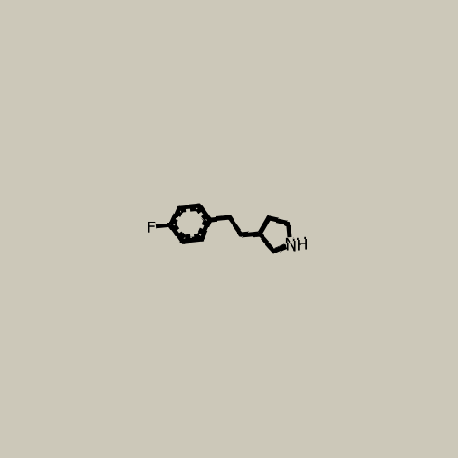 Fc1ccc(CCC2CCNC2)cc1